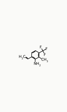 C=Cc1ccc(C(F)(F)F)c(C)c1N